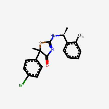 C[C@H](NC1=NC(=O)C(C)(c2ccc(Br)cc2)S1)c1ccccc1C(F)(F)F